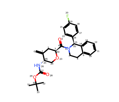 C=C1C[C@@H](C(=O)N2CCc3ccccc3[C@@H]2c2ccc(F)cc2)OC[C@@H]1NC(=O)OC(C)(C)C